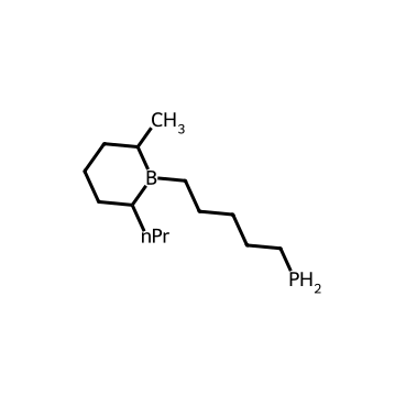 CCCC1CCCC(C)B1CCCCCP